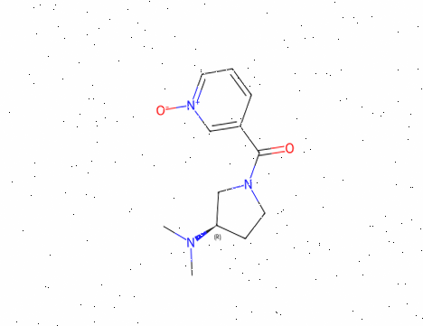 CN(C)[C@@H]1CCN(C(=O)c2ccc[n+]([O-])c2)C1